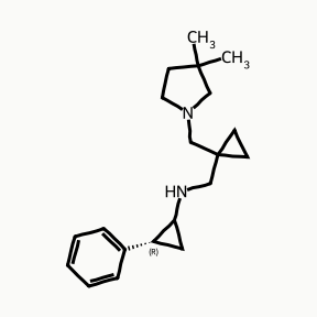 CC1(C)CCN(CC2(CNC3C[C@@H]3c3ccccc3)CC2)C1